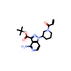 C=CC(=O)N1CCCC(n2nc(C(=O)OC(C)(C)C)c3c(N)nccc32)C1